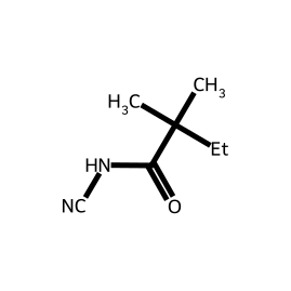 CCC(C)(C)C(=O)NC#N